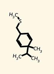 CSCC1C=CC(C)(C(C)C)C=C1